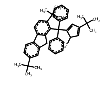 CC1C=C(C(C)(C)C)C=C1C(c1ccccc1)(c1ccccc1)c1c(C(C)(C)C)ccc2c1Cc1cc(C(C)(C)C)ccc1-2